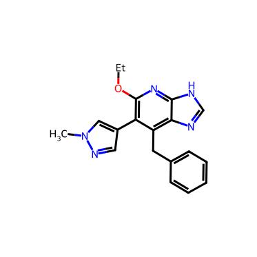 CCOc1nc2[nH]cnc2c(Cc2ccccc2)c1-c1cnn(C)c1